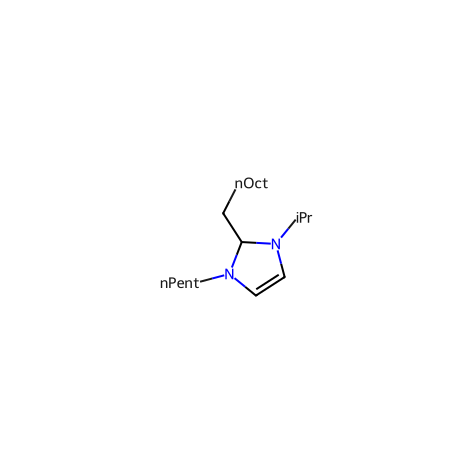 CCCCCCCCCC1N(CCCCC)C=CN1C(C)C